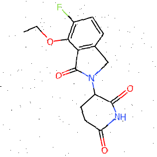 CCOc1c(F)ccc2c1C(=O)N(C1CCC(=O)NC1=O)C2